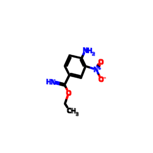 CCOC(=N)c1ccc(N)c([N+](=O)[O-])c1